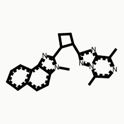 Cc1ncc(C)n2nc(C3CCC3c3nc4c5ccccc5ccc4n3C)nc12